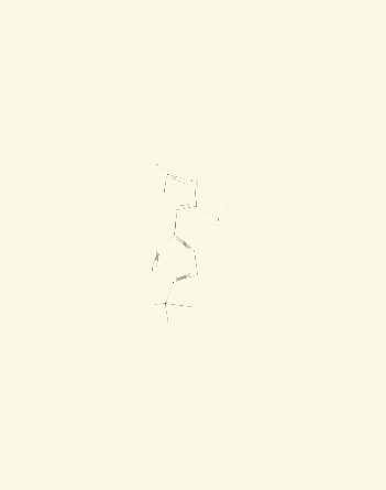 FC(F)c1nc(Cl)oc1-c1ccc(C(F)(F)F)cc1